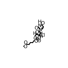 COC(=O)CCCCOP1(=O)OC[C@H]2O[C@@H](n3ccc(=O)[nH]c3=O)[C@](C)(Cl)[C@@H]2O1